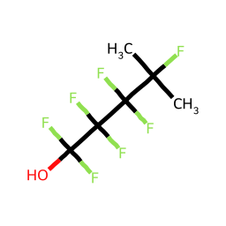 CC(C)(F)C(F)(F)C(F)(F)C(O)(F)F